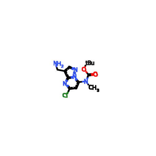 CN(C(=O)OC(C)(C)C)c1cc(Cl)nc2c(CN)cnn12